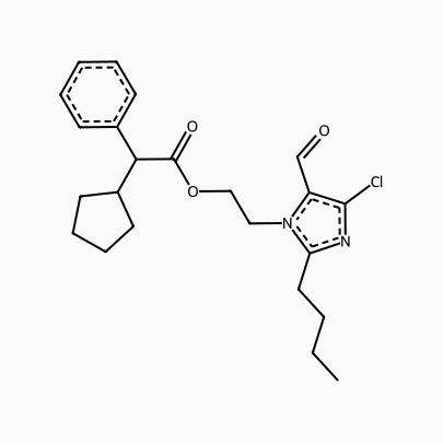 CCCCc1nc(Cl)c(C=O)n1CCOC(=O)C(c1ccccc1)C1CCCC1